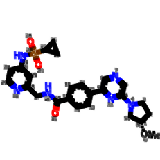 CO[C@H]1CCN(c2cncc(-c3ccc(C(=O)NCc4cc(NS(=O)(=O)C5CC5)ccn4)cc3)n2)C1